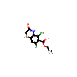 CCOC(=O)c1c(F)cc2c(c1F)NC(=O)CS2